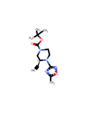 C#C[C@H]1CN(C(=O)OC(C)(C)C)CCN1c1noc(C)n1